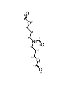 O=COCCCN(C=O)CCCOC=O